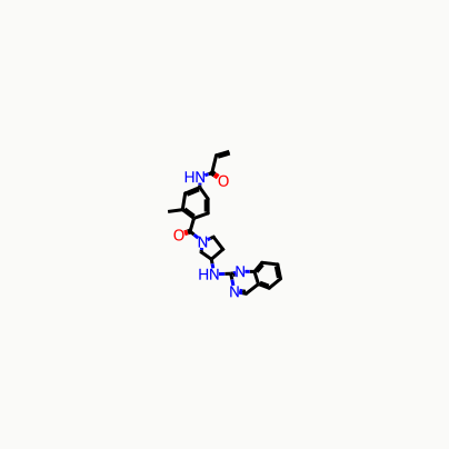 C=CC(=O)Nc1ccc(C(=O)N2CCC(Nc3ncc4ccccc4n3)C2)c(C)c1